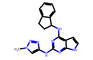 Cn1cc(Nc2nc(NC3CCc4ccccc43)c3cc[nH]c3n2)nn1